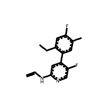 C=CNc1cc(-c2cc(C)c(F)cc2CC)c(F)cn1